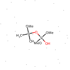 CO[Si](C)(C)O[Si](O)(OC)OC